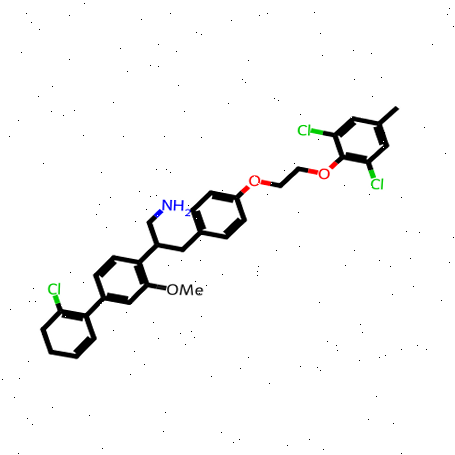 COc1cc(C2=C(Cl)CCC=C2)ccc1C(CN)Cc1ccc(OCCOc2c(Cl)cc(C)cc2Cl)cc1